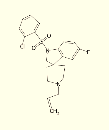 C=CCN1CCC2(CC1)CN(S(=O)(=O)c1ccccc1Cl)c1ccc(F)cc12